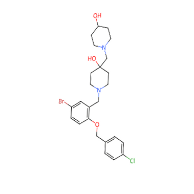 OC1CCN(CC2(O)CCN(Cc3cc(Br)ccc3OCc3ccc(Cl)cc3)CC2)CC1